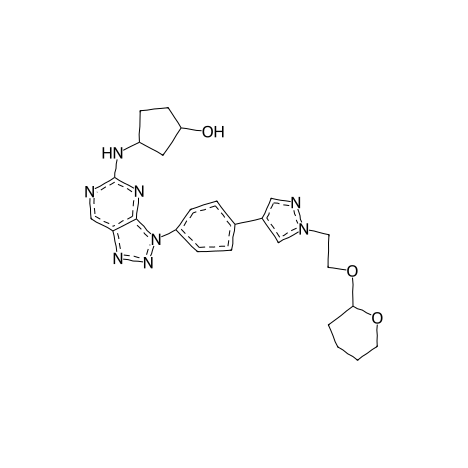 OC1CCC(Nc2ncc3nnn(-c4ccc(-c5cnn(CCOC6CCCCO6)c5)cc4)c3n2)C1